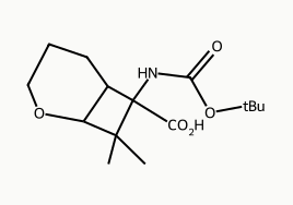 CC(C)(C)OC(=O)NC1(C(=O)O)C2CCCOC2C1(C)C